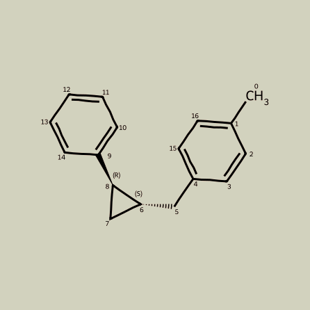 Cc1ccc(C[C@@H]2C[C@H]2c2ccccc2)cc1